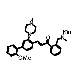 COc1ccccc1-c1ccc(C=CC(=O)c2ccccc2CN(C)C(C)(C)C)c(N2CCN(C)CC2)c1